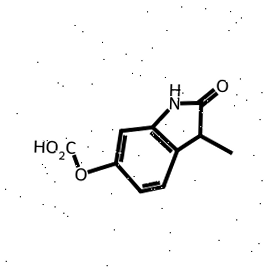 CC1C(=O)Nc2cc(OC(=O)O)ccc21